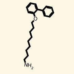 NCCCCCCCCCOc1ccccc1-c1ccccc1